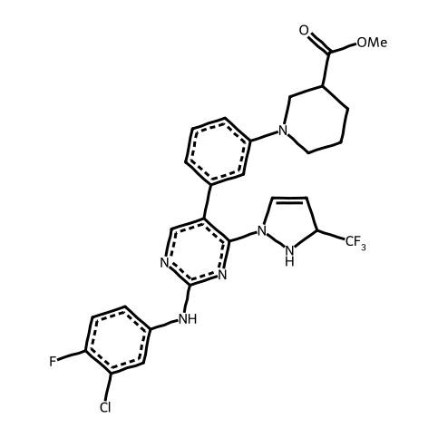 COC(=O)C1CCCN(c2cccc(-c3cnc(Nc4ccc(F)c(Cl)c4)nc3N3C=CC(C(F)(F)F)N3)c2)C1